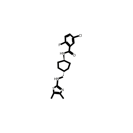 Cc1nc(NC[C@H]2CC[C@H](NC(=O)c3cc(Cl)ccc3F)CC2)sc1C